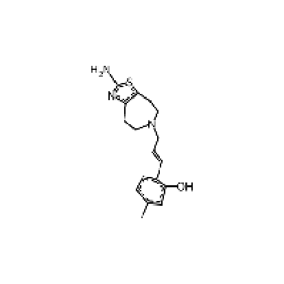 Cc1ccc(/C=C/CN2CCc3nc(N)sc3CC2)c(O)c1